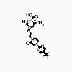 CCN(CC(C)NC(=O)O)OCCN1CCN(c2ncc(C(F)(F)F)cn2)CC1=O